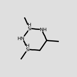 CC1C[SiH](C)N[SiH](C)N1